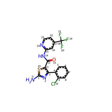 Nc1nc(-c2ccccc2Cl)c(C(=O)Nc2cc(C(F)(F)F)ccn2)s1